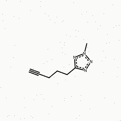 C#CCCCc1nnn(C)n1